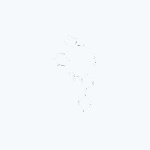 Cc1ccc(-c2cc3c(cc2C)OCCCCn2cnnc2-c2cccc(n2)NC3=O)cn1